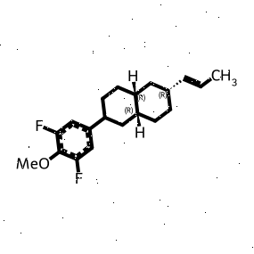 CC=C[C@@H]1CC[C@@H]2CC(c3cc(F)c(OC)c(F)c3)CC[C@@H]2C1